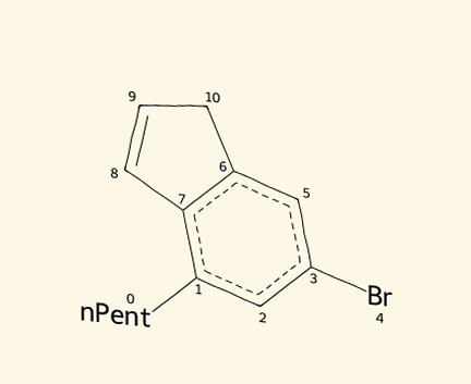 CCCCCc1cc(Br)cc2c1C=CC2